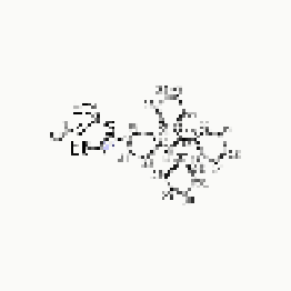 C=CCC(CC)S/C(=C\CC)c1ccc(C(=C(c2ccccc2)c2ccccc2)c2ccccc2)cc1